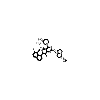 C#Cc1c(F)ccc2cccc(-c3ncc4c(N5CCC[C@@](C)(O)C5)nc(OC[C@@]56CCCN5[C@H](CO)CC6)nc4c3F)c12